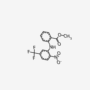 COC(=O)c1ccccc1Nc1cc(C(F)(F)F)ccc1[N+](=O)[O-]